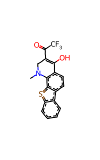 CN1CC(C(=O)C(F)(F)F)=C(O)c2ccc3c(sc4ccccc43)c21